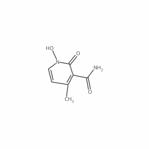 Cc1ccn(O)c(=O)c1C(N)=O